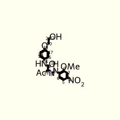 COc1cc([N+](=O)[O-])ccc1N/N=C(/C(C)=O)C(=O)Nc1ccc(OCCO)cc1